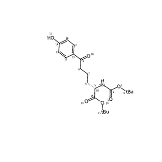 CC(C)(C)OC(=O)N[C@@H](CCCC(=O)c1ccc(O)cc1)C(=O)OC(C)(C)C